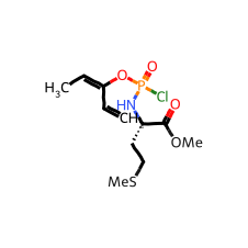 C=C/C(=C\C)OP(=O)(Cl)N[C@@H](CCSC)C(=O)OC